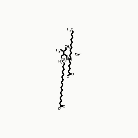 CCC(N)C(CC)CN.CCCCCCCCCCCCCCCCCC(=O)[O-].CCCCCCCCCCCCCCCCCC(=O)[O-].[Ca+2]